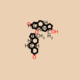 C[C@]12CC[C@H]3[C@@H](CCC4=CC(=O)CC[C@@]43C)[C@@H]1CC[C@@H]2OC1CC(=O)C=C2CC[C@H]3[C@@H]4CC[C@H](O)[C@@]4(C)CC[C@@H]3[C@]21C